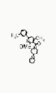 COc1nc(-c2cccc(C(F)(F)F)c2)cc(C)c1C(=O)N1CCC(N2CCCC2)CC1